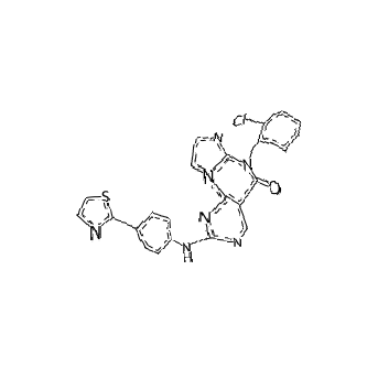 O=c1c2cnc(Nc3ccc(-c4nccs4)cc3)nc2n2ccnc2n1-c1ccccc1Cl